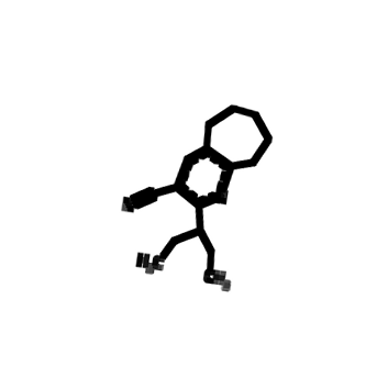 CCC(CC)c1nc2c(cc1C#N)CCCCC2